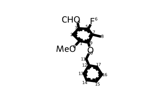 COc1cc(C=O)c(F)c(C)c1OCc1ccccc1